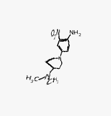 CN(C)C1CCN(c2ccc(N)c([N+](=O)[O-])c2)CC1